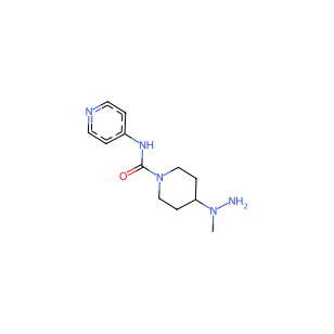 CN(N)C1CCN(C(=O)Nc2ccncc2)CC1